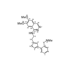 CNCc1ccccc1-c1csc(CCNc2nncc3cc(OC)c(OC)cc23)c1